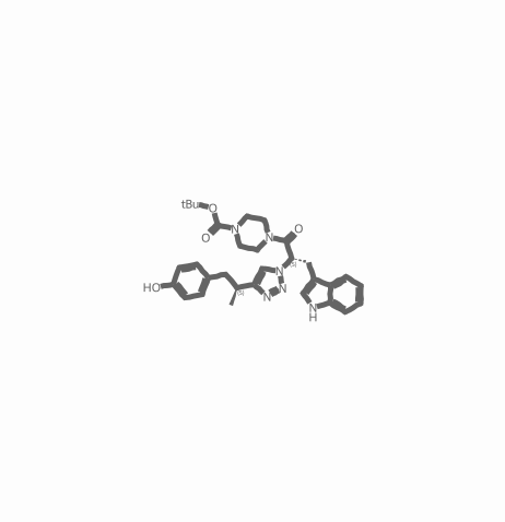 C[C@@H](Cc1ccc(O)cc1)c1cn([C@@H](Cc2c[nH]c3ccccc23)C(=O)N2CCN(C(=O)OC(C)(C)C)CC2)nn1